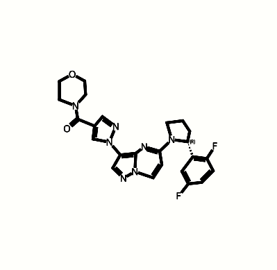 O=C(c1cnn(-c2cnn3ccc(N4CCC[C@@H]4c4cc(F)ccc4F)nc23)c1)N1CCOCC1